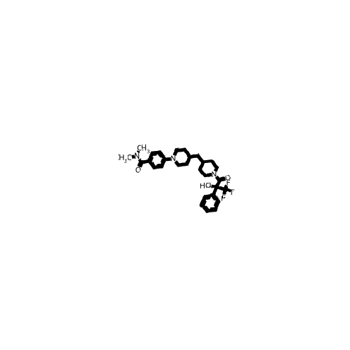 CN(C)C(=O)c1ccc(N2CCC(CC3CCN(C(=O)C(O)(c4ccccc4)C(F)(F)F)CC3)CC2)cc1